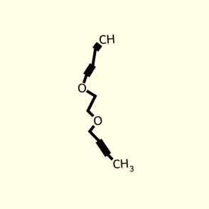 C#CC#COCCOCC#CC